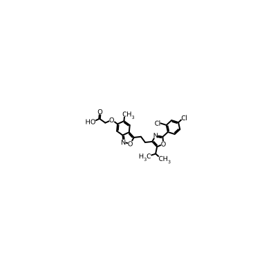 Cc1cc2c(CCc3nc(-c4ccc(Cl)cc4Cl)oc3C(C)C)onc2cc1OCC(=O)O